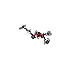 Cc1c(CN(C(=O)C2(C)C(c3ccc(CCCOc4c(F)ccc(F)c4Cl)cc3)CC3CS(=O)(=O)CC2N3C(=O)OCCCCON(O)O)C2CC2)ccnc1CCCOC(=O)OCCCCON(O)O